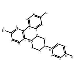 Cc1ccc(-c2nc(Br)ccc2N2CCN(c3ccc(C)cc3)CC2)cc1